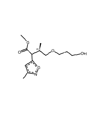 COC(=O)C(c1cc(C)no1)[C@@H](C)COCCCO